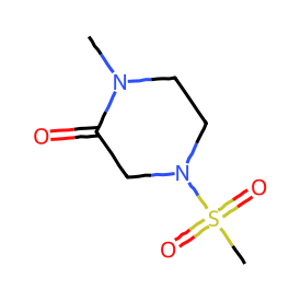 CN1CCN(S(C)(=O)=O)CC1=O